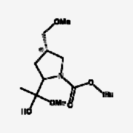 COC[C@H]1CC(C(C)(O)OC)N(C(=O)OC(C)(C)C)C1